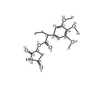 CCC(C(=O)OC1CC(=O)NC1=O)c1cc(OC)c(OC)c(OC)c1